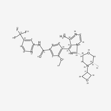 COc1cc(C(=O)Nc2cc(C(F)(F)F)ccn2)ccc1-c1nc([C@H]2CN(C3COC3)[C@@H](C)CO2)n2ccnc(N)c12